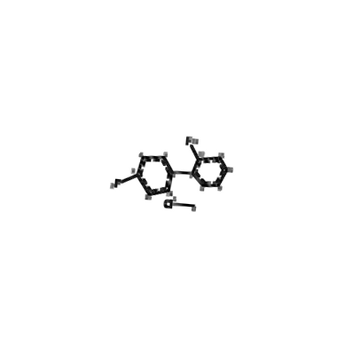 CCl.Fc1ccc(-c2ccccc2F)cc1